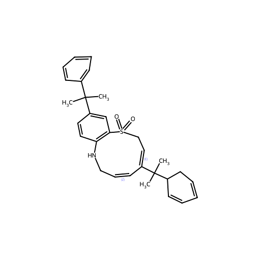 CC(C)(c1ccccc1)c1ccc2c(c1)S(=O)(=O)C/C=C(C(C)(C)C1C=CC=CC1)\C=C/CN2